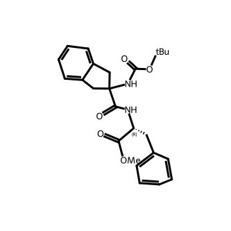 COC(=O)[C@@H](Cc1ccccc1)NC(=O)C1(NC(=O)OC(C)(C)C)Cc2ccccc2C1